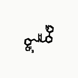 FC(F)(F)c1cccc(CCNCc2cccc(-c3cccnc3)c2)c1